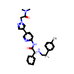 C[C@H](CN[C@@H](C(=O)Nc1ccc(-c2cnn(CC(=O)N(C)C)c2)cn1)c1ccccc1)c1ccc(C#N)cc1